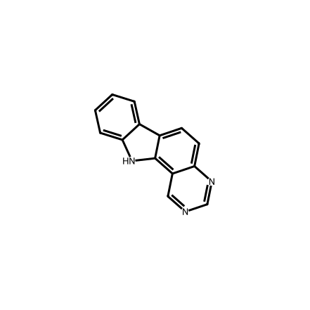 c1ccc2c(c1)[nH]c1c3cncnc3ccc21